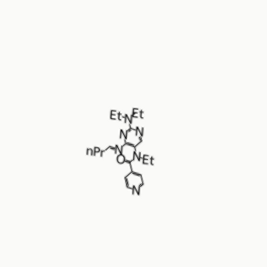 [CH2]CCC=Nc1nc(N(CC)CC)ncc1N(CC)C(=O)c1ccncc1